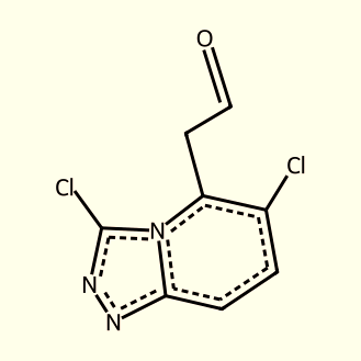 O=CCc1c(Cl)ccc2nnc(Cl)n12